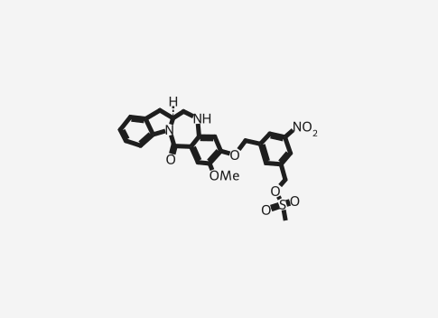 COc1cc2c(cc1OCc1cc(COS(C)(=O)=O)cc([N+](=O)[O-])c1)NC[C@@H]1Cc3ccccc3N1C2=O